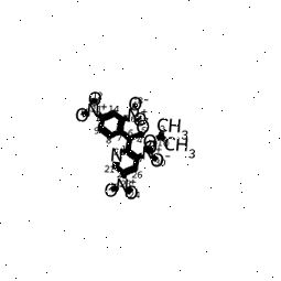 CC(C)OC(=O)C(c1ccc([N+](=O)[O-])cc1[N+](=O)[O-])c1ncc([N+](=O)[O-])cc1[N+](=O)[O-]